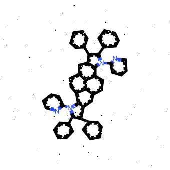 c1ccc(-c2c(-c3ccccc3)n(-c3ccccn3)c3c2cc2ccc4c5c(ccc3c25)cc2c(-c3ccccc3)c(-c3ccccc3)n(-c3ccccn3)c24)cc1